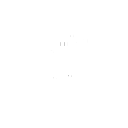 O=C(Nc1cc(C2=COC=C(C3=CC=CCC3)O2)ccc1C(=O)O)c1ccccc1